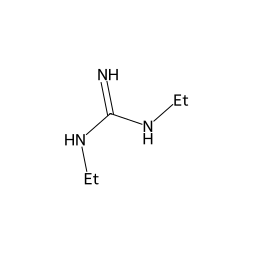 CCNC(=N)NCC